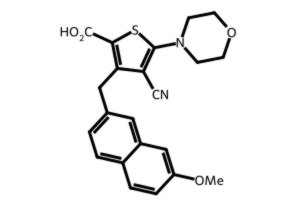 COc1ccc2ccc(Cc3c(C(=O)O)sc(N4CCOCC4)c3C#N)cc2c1